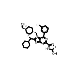 C=C[C@H]1CC[C@H](Cn2c(C(F)C3CCCCC3)nc3nc(C4=NOC(O)N4)nc(-c4cccc(Cl)c4)c32)CC1